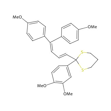 COc1ccc(C(=CC=CC2(c3ccc(OC)c(OC)c3)SCCCS2)c2ccc(OC)cc2)cc1